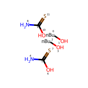 CCCCO.CCCCO.NC(O)=S.NC(O)=S